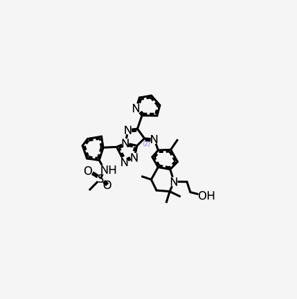 Cc1cc2c(cc1/N=C1/C(c3ccccn3)=Nn3c1nnc3-c1ccccc1NS(C)(=O)=O)C(C)CC(C)(C)N2CCO